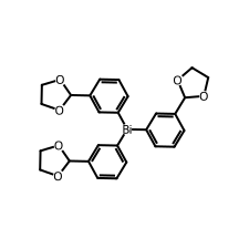 c1cc(C2OCCO2)c[c]([Bi]([c]2cccc(C3OCCO3)c2)[c]2cccc(C3OCCO3)c2)c1